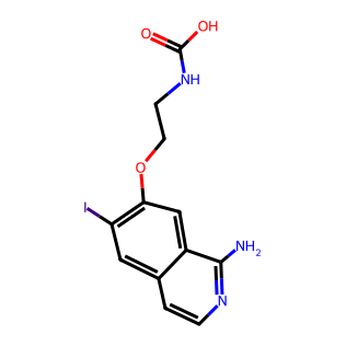 Nc1nccc2cc(I)c(OCCNC(=O)O)cc12